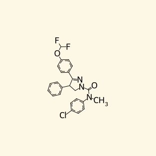 CN(C(=O)N1CC(c2ccccc2)C(c2ccc(OC(F)F)cc2)=N1)c1ccc(Cl)cc1